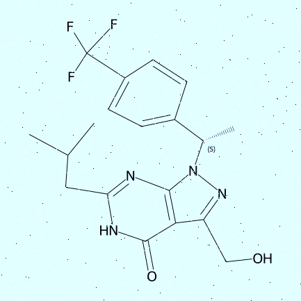 CC(C)Cc1nc2c(c(CO)nn2[C@@H](C)c2ccc(C(F)(F)F)cc2)c(=O)[nH]1